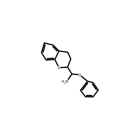 NC(Oc1ccccc1)C1CCc2ccccc2O1